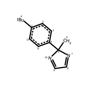 CC(C)(C)c1ccc(C2(C)N=CC=N2)cc1